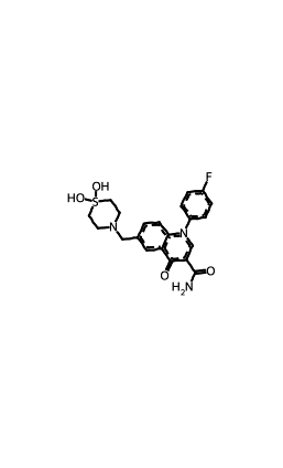 NC(=O)c1cn(-c2ccc(F)cc2)c2ccc(CN3CCS(O)(O)CC3)cc2c1=O